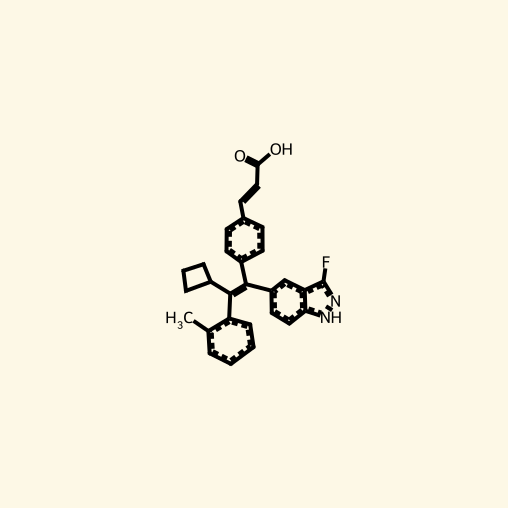 Cc1ccccc1C(=C(c1ccc(C=CC(=O)O)cc1)c1ccc2[nH]nc(F)c2c1)C1CCC1